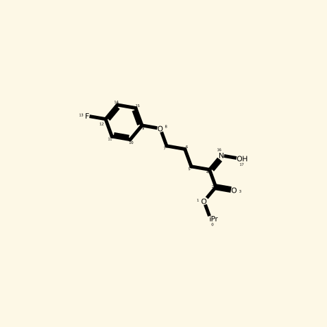 CC(C)OC(=O)C(CCCOc1ccc(F)cc1)=NO